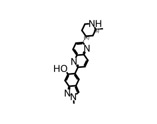 C[C@H]1C[C@H](c2ccc3nc(-c4cc5cn(C)nc5cc4O)ccc3n2)CCN1